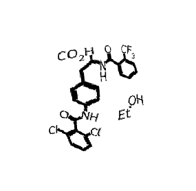 CCO.O=C(N[C@@H](Cc1ccc(NC(=O)c2c(Cl)cccc2Cl)cc1)C(=O)O)c1ccccc1C(F)(F)F